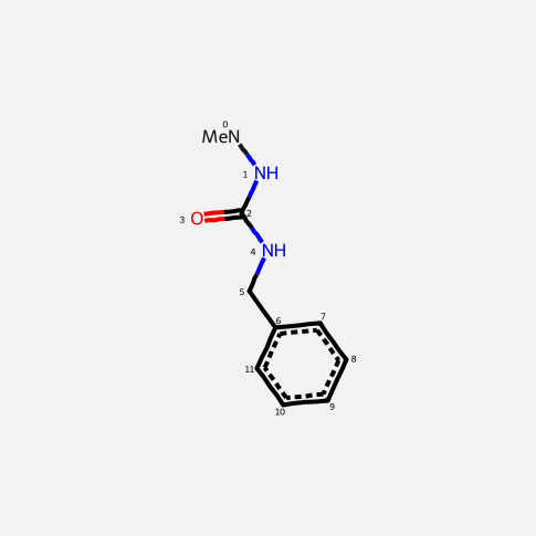 CNNC(=O)NCc1ccccc1